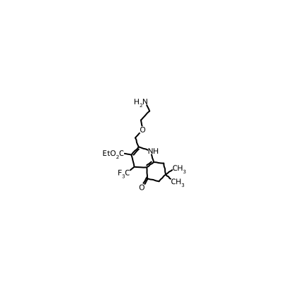 CCOC(=O)C1=C(COCCN)NC2=C(C(=O)CC(C)(C)C2)C1C(F)(F)F